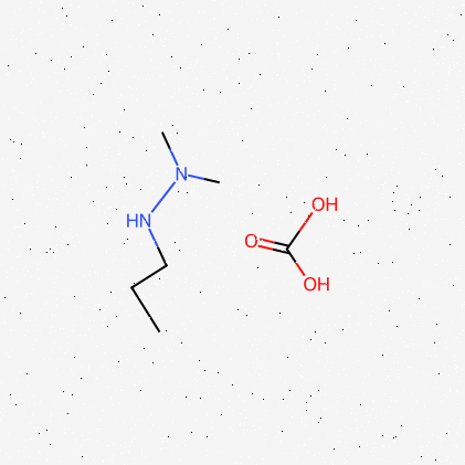 CCCNN(C)C.O=C(O)O